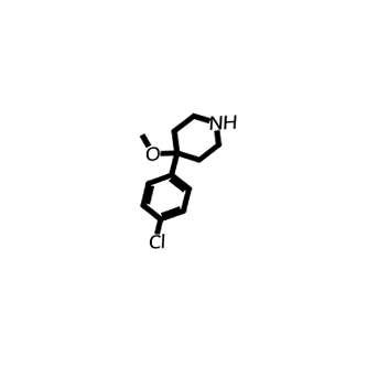 COC1(c2ccc(Cl)cc2)CCNCC1